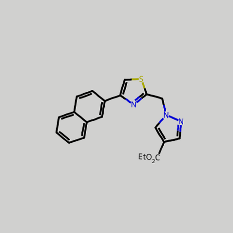 CCOC(=O)c1cnn(Cc2nc(-c3ccc4ccccc4c3)cs2)c1